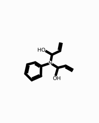 C=CC(O)N(c1[c]cccc1)C(O)C=C